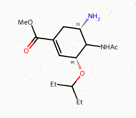 CCC(CC)O[C@@H]1C=C(C(=O)OC)C[C@H](N)C1NC(C)=O